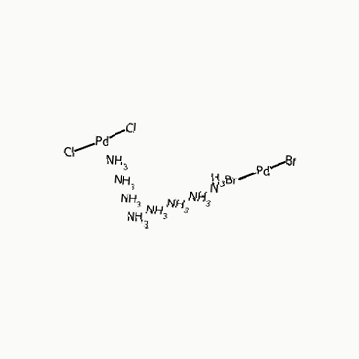 N.N.N.N.N.N.N.N.[Br][Pd][Br].[Cl][Pd][Cl]